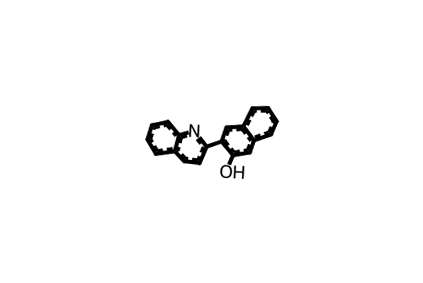 Oc1cc2ccccc2cc1-c1ccc2ccccc2n1